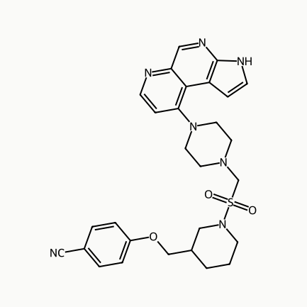 N#Cc1ccc(OCC2CCCN(S(=O)(=O)CN3CCN(c4ccnc5cnc6[nH]ccc6c45)CC3)C2)cc1